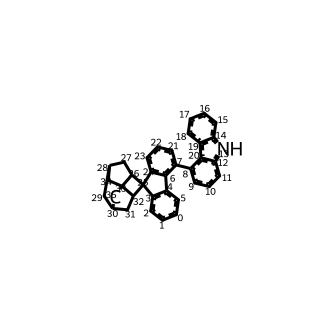 c1ccc2c(c1)-c1c(-c3cccc4[nH]c5ccccc5c34)cccc1C21C2CC3CC4CC1C2(C3)C4